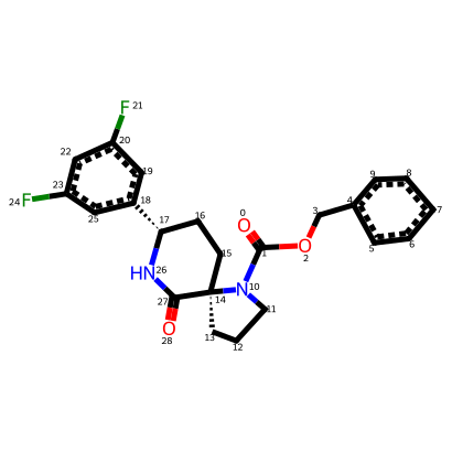 O=C(OCc1ccccc1)N1CCC[C@]12CC[C@@H](c1cc(F)cc(F)c1)NC2=O